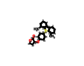 Cc1cccc2c3cccc(C)c3[s+](-c3ccc(OC4CCOC4=O)cc3)c12